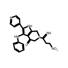 N=C(CC[N+](=O)[O-])N1CC(=O)c2c([nH]c(-c3ccncc3)c2Nc2ccccc2)C1